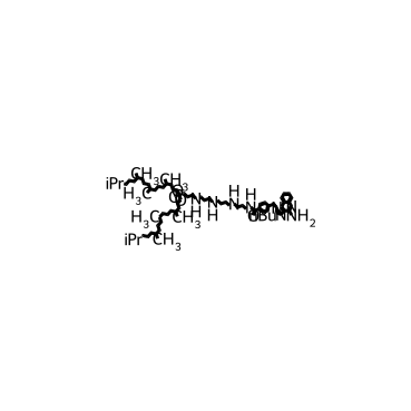 CCCCc1nc2c(N)nc3ccccc3c2n1Cc1ccc(C(=O)NCCCNCCCCNCCCNCCCP(=O)(OCCC(C)CCCC(C)CCCC(C)CCCC(C)C)OCCC(C)CCCC(C)CCCC(C)CCCC(C)C)cc1